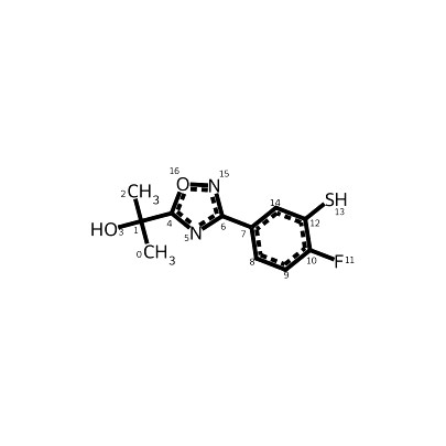 CC(C)(O)c1nc(-c2ccc(F)c(S)c2)no1